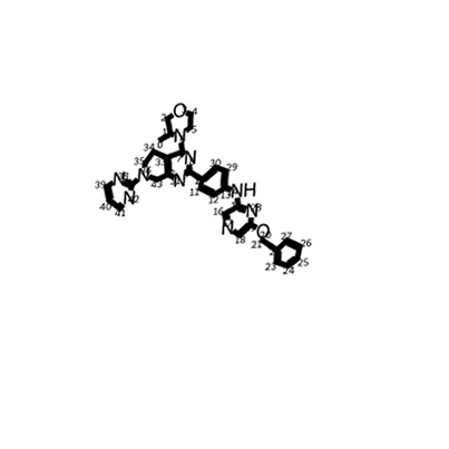 CC1COCCN1c1nc(-c2ccc(Nc3cncc(OCc4ccccc4)n3)cc2)nc2c1CCN(c1ncccn1)C2